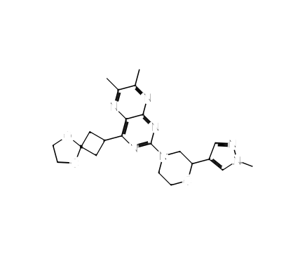 Cc1nc2nc(N3CCOC(c4cnn(C)c4)C3)nc(C3CC4(C3)OCCO4)c2nc1C